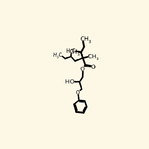 CCC(C)CC(C)(C(=O)OCC(O)COc1ccccc1)C(C)CC